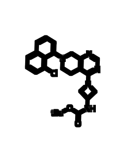 CC(C)(C)OC(=O)NC1CN(c2ncnc3c2CCN(c2cccc4cccc(Cl)c24)C3)C1